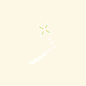 F.F.F.F.F.FS(F)(F)F.[CsH].[KH].[KH].[RbH]